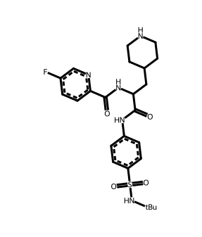 CC(C)(C)NS(=O)(=O)c1ccc(NC(=O)C(CC2CCNCC2)NC(=O)c2ccc(F)cn2)cc1